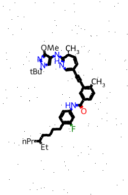 CCCC(CC)CCCCc1ccc(NC(=O)c2ccc(C)c(C#CC3=CN=C(Nc4cn(C(C)(C)C)nc4OC)[C@H](C)C=C3)c2)cc1F